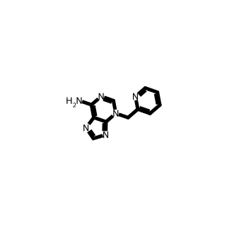 Nc1ncn(Cc2ccccn2)c2ncnc1-2